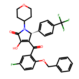 O=C(C1=C(O)C(=O)N(C2CCOCC2)[C@@H]1c1ccc(C(F)(F)F)cc1)c1cc(F)ccc1OCc1ccccc1